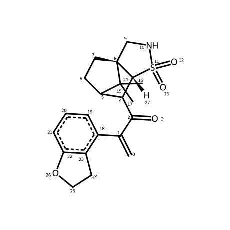 C=C(C(=O)C1C2CC[C@]3(CNS(=O)(=O)[C@H]13)C2(C)C)c1cccc2c1CCO2